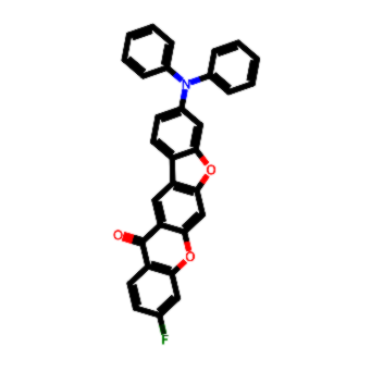 O=c1c2ccc(F)cc2oc2cc3oc4cc(N(c5ccccc5)c5ccccc5)ccc4c3cc12